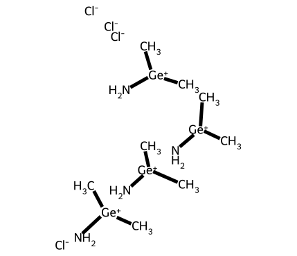 [CH3][Ge+]([CH3])[NH2].[CH3][Ge+]([CH3])[NH2].[CH3][Ge+]([CH3])[NH2].[CH3][Ge+]([CH3])[NH2].[Cl-].[Cl-].[Cl-].[Cl-]